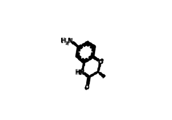 C[C@@H]1Oc2ccc(N)cc2NC1=O